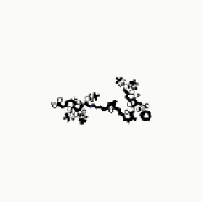 C=C1CC(CCC/C=C/C(O[Si](C)(C)C(C)(C)C)[C@@H]2O[C@H]3CCC(CC(=O)OC)OC3C(O[Si](C)(C)C(C)(C)C)C2O[Si](C)(C)C(C)(C)C)OC1CCC1C[C@@H](C)C(=C)C(C[C@@H]2OC(CC(CO[Si](C)(C)C(C)(C)C)O[Si](C)(C)C(C)(C)C)[C@H](OC)[C@H]2CS(=O)(=O)c2ccccc2)O1